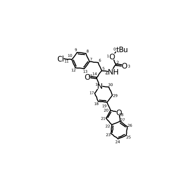 CC(C)(C)OC(=O)NC(Cc1ccc(Cl)cc1)C(=O)N1CC=C(c2cc3ccccc3o2)CC1